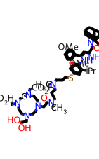 COc1cccc(OC)c1/C(=C/C(=N)C1=NC2(C(=O)O1)C1CC3CC(C1)CC2C3)Nc1ccc(SCCCN(C)CCCN(C)C(=O)CN2CCN(CC(=O)O)CCN(CC(=O)O)CCN(CC(O)O)CC2)cc1C(C)C